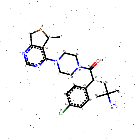 C[C@@H]1SCc2ncnc(N3CCN(C(=O)[C@H](CC(C)(C)N)c4ccc(Cl)cc4)CC3)c21